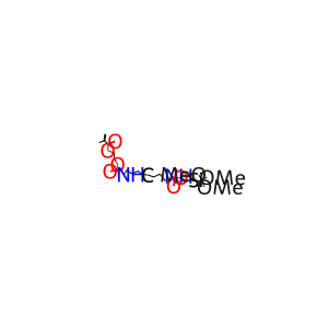 C=C(C)C(=O)OCCOC(=O)NCCCCCCCCNC(=O)OCCC[Si](OC)(OC)OC